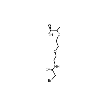 CC(OCCOCCNC(=O)CBr)C(=O)O